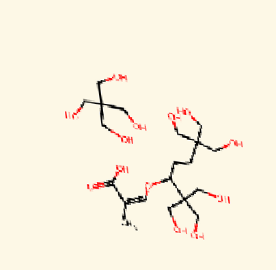 CC(=COC(CCC(CO)(CO)CO)C(CO)(CO)CO)C(=O)O.OCC(CO)(CO)CO